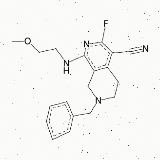 COCCNc1nc(F)c(C#N)c2c1CN(Cc1ccccc1)CC2